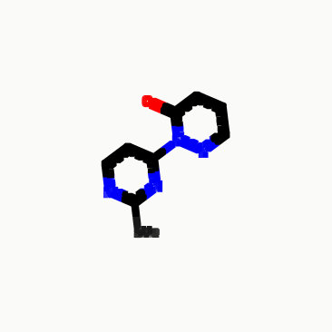 CSc1nccc(-n2ncccc2=O)n1